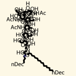 CCCCCCCCCCCCC/C=C/[C@@H](O)[C@H](CO[C@@H]1OC(CO)[C@@H](O[C@@H]2OC(CO)[C@H](O)[C@H](O[C@@H]3OC(CO)[C@@H](O)[C@H](O[C@@H]4OC(CO)[C@H](O[C@@H]5OC(CO)[C@H](O)[C@H](O)C5NC(C)=O)[C@H](O[C@]5(C(=O)O)CC(O)[C@@H](NC(C)=O)C([C@H](O)[C@H](O)CO)O5)C4O)C3NC(C)=O)C2O)[C@H](O)C1O)NC(=O)CCCCCCCCCCCCCCCCCCCCCCCCC